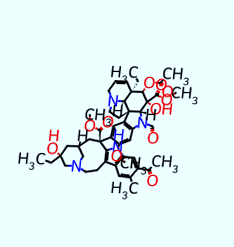 CC[C@]1(O)C[C@H]2CN(CCc3c([nH]c4cc(C(C)=O)c(C)cc34)[C@@](C(=O)OC)(c3cc4c(cc3OC)N(C=O)[C@H]3[C@@](O)(C(=O)OC)[C@H](OC(C)=O)[C@]5(CC)C=CCN6CC[C@]43[C@@H]65)C2)C1